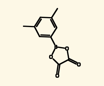 Cc1cc(C)cc(B2OC(=O)C(=O)O2)c1